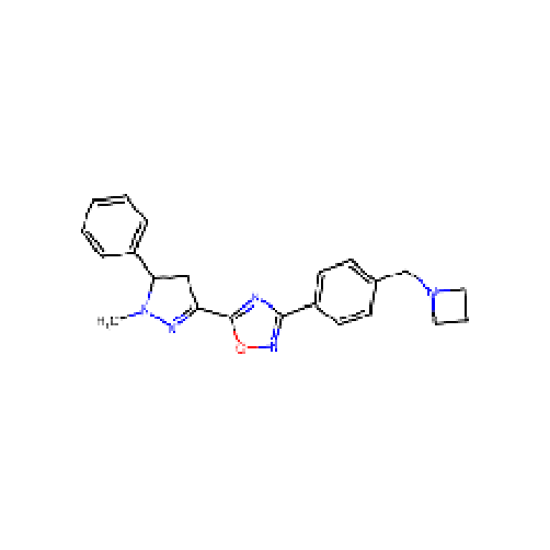 CN1N=C(c2nc(-c3ccc(CN4CCC4)cc3)no2)CC1c1ccccc1